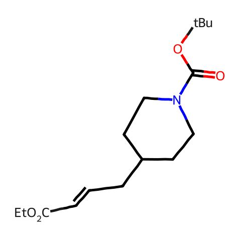 CCOC(=O)C=CCC1CCN(C(=O)OC(C)(C)C)CC1